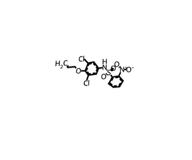 C=CCOc1c(Cl)cc(NS(=O)(=O)c2ccccc2[N+](=O)[O-])cc1Cl